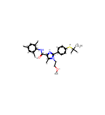 CCOCCn1c(-c2ccc(SC(C)(C)C(=O)O)cc2)nc(C(=O)Nc2c(C)cc(C)cc2C)c1C